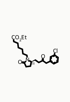 CCOC(=O)CCCCCCN1C(=O)CC[C@@H]1CCC(=O)Cc1cccc(Cl)c1